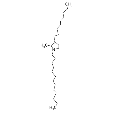 CCCCCCCCCCCCCN1C=CN(CCCCCCCCC)C1C